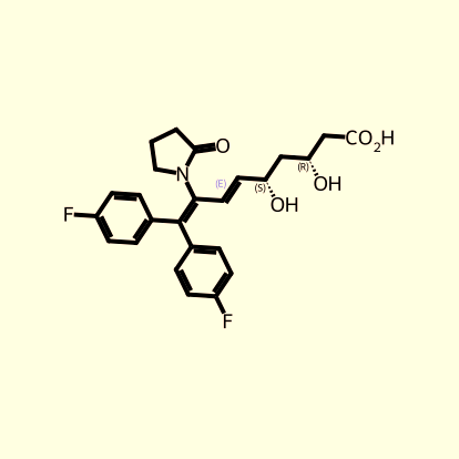 O=C(O)C[C@H](O)C[C@H](O)/C=C/C(=C(c1ccc(F)cc1)c1ccc(F)cc1)N1CCCC1=O